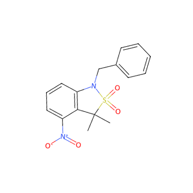 CC1(C)c2c(cccc2[N+](=O)[O-])N(Cc2ccccc2)S1(=O)=O